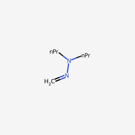 C=NN(CCC)CCC